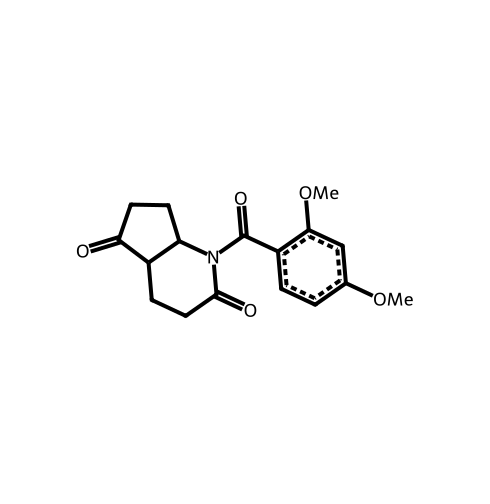 COc1ccc(C(=O)N2C(=O)CCC3C(=O)CCC32)c(OC)c1